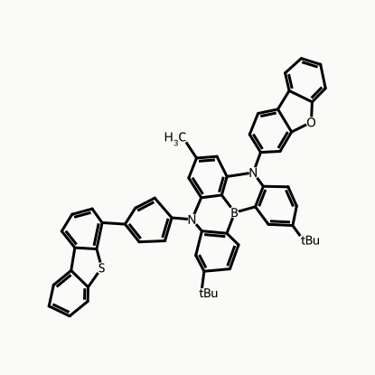 Cc1cc2c3c(c1)N(c1ccc(-c4cccc5c4sc4ccccc45)cc1)c1cc(C(C)(C)C)ccc1B3c1cc(C(C)(C)C)ccc1N2c1ccc2c(c1)oc1ccccc12